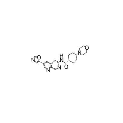 O=C(Nc1cc2cc(-c3cnco3)cnc2cn1)[C@H]1CC[C@@H](N2CCOCC2)CC1